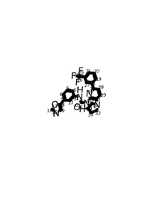 O=C(Nc1cccc(-c2cnco2)c1)N1c2nc(-c3cccc(C(F)(F)F)c3)ccc2N2CC[C@H]1C2